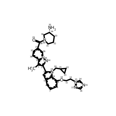 Cc1c(-c2cc3cccc(OCCn4cncn4)c3n2CC2CC2)nn2cc(C(=O)N3CCC[C@@H](N)C3)ccc12